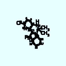 CC1(C)Nc2ccc(Cl)nc2-c2c(F)c3ccccc3n21